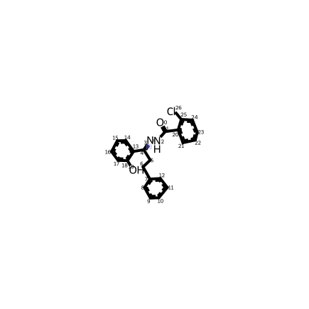 O=C(N/N=C(\CCc1ccccc1)c1ccccc1O)c1ccccc1Cl